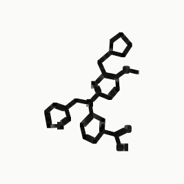 COc1ccc(N(Cc2cccnc2)c2cccc(C(=O)O)c2)nc1CC1CCCC1